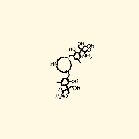 Cc1cc(CN2CCCNCCCN(Cc3cc(C)cc(C(CO)(CO)C(N)=O)c3O)CCC2)c(O)c(C(CO)(CO)C(N)=O)c1